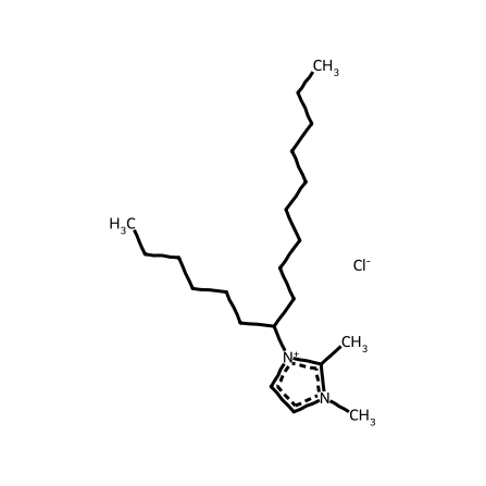 CCCCCCCCCC(CCCCCC)[n+]1ccn(C)c1C.[Cl-]